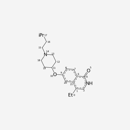 CCc1c[nH]c(=O)c2ccc(OC3CCN(CCC(C)C)CC3)cc12